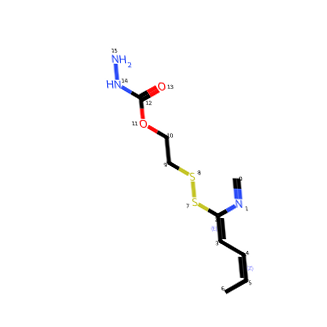 C=N/C(=C\C=C/C)SSCCOC(=O)NN